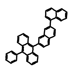 c1ccc(-c2c3ccccc3c(-c3ccc4ccc(-c5cccc6ccccc56)cc4c3)c3ccccc23)cc1